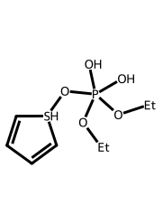 CCOP(O)(O)(OCC)O[SH]1C=CC=C1